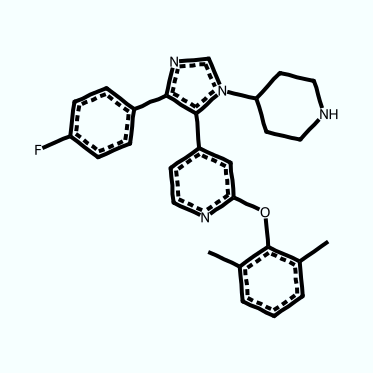 Cc1cccc(C)c1Oc1cc(-c2c(-c3ccc(F)cc3)ncn2C2CCNCC2)ccn1